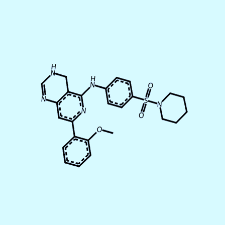 COc1ccccc1-c1cc2c(c(Nc3ccc(S(=O)(=O)N4CCCCC4)cc3)n1)CNC=N2